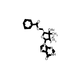 CC(=O)OC1(C)[C@@H](COC(=O)c2ccccc2)OC(n2cnc3c(=O)[nH]cnc32)[C@]1(C)F